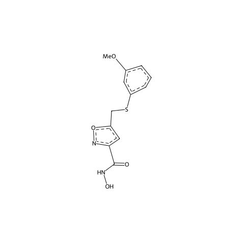 COc1cccc(SCc2cc(C(=O)NO)no2)c1